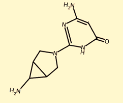 Nc1[c]c(=O)[nH]c(N2CC3C(N)C3C2)n1